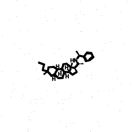 CCC[C@]1(C)CC[C@H]2[C@H](CC[C@@H]3[C@@H]2CC[C@]2(C)[C@@H]([C@@H](C)N[C@@H](C)c4ccccc4)CC[C@@H]32)C1